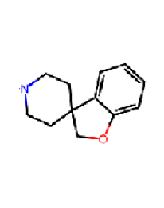 c1ccc2c(c1)OCC21CC[N]CC1